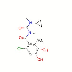 CN(C(=O)c1c(Cl)cc(O)c(O)c1[N+](=O)[O-])C(=O)N(C)C1CC1